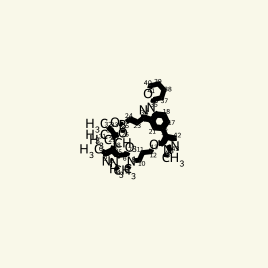 Cc1nn(C)c(C(=O)N(C)CCCOc2c(-c3ccc4c(c3)c(/C=C/B3OC(C)(C)C(C)(C)O3)nn4C3CCCCO3)cnn2C)c1I